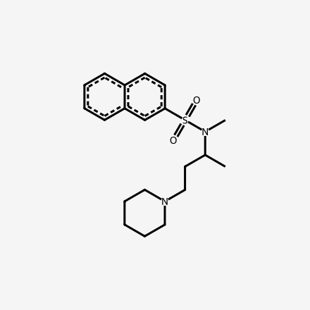 CC(CCN1CCCCC1)N(C)S(=O)(=O)c1ccc2ccccc2c1